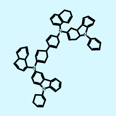 C1=CCCC(n2c3ccccc3c3cc(N(C4=CCC(C5=CCC(N(C6=CCC7C(C6)c6ccccc6N7c6ccccc6)c6cccc7c6C=CCC7)C=C5)C=C4)C4=CC=CC5C=CC=CC45)ccc32)=C1